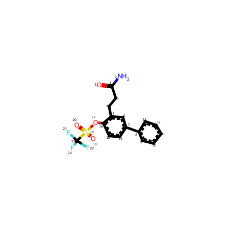 NC(=O)CCc1cc(-c2ccccc2)ccc1OS(=O)(=O)C(F)(F)F